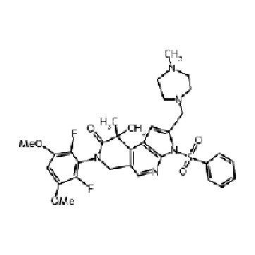 COc1cc(OC)c(F)c(N2Cc3cnc4c(cc(CN5CCN(C)CC5)n4S(=O)(=O)c4ccccc4)c3C(C)(C)C2=O)c1F